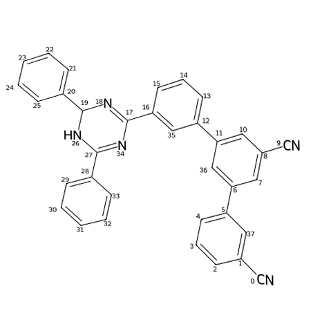 N#Cc1cccc(-c2cc(C#N)cc(-c3cccc(C4=NC(c5ccccc5)NC(c5ccccc5)=N4)c3)c2)c1